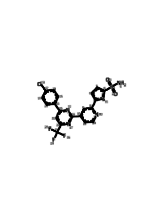 NS(=O)(=O)c1ccc(-c2cc(-c3nc(-c4ccc(Cl)cc4)cc(C(F)(F)F)n3)ccn2)s1